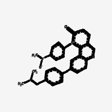 CN(C)Cc1ccc(-c2ccc3ncc4ccc(=O)n(-c5ccc([S+](C)[O-])cc5)c4c3c2)cc1